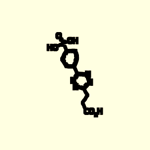 O=C(O)CCc1nnc(-c2ccc(P(=O)(O)O)cc2)nn1